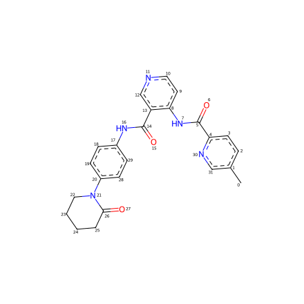 Cc1ccc(C(=O)Nc2ccncc2C(=O)Nc2ccc(N3CCCCC3=O)cc2)nc1